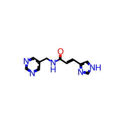 O=C(/C=C/c1c[nH]cn1)NCc1cncnc1